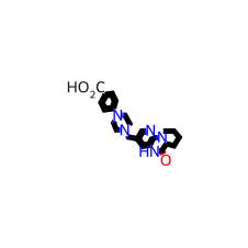 O=C(O)c1ccc(N2CCN(Cc3cnc4c(c3)NC(=O)C3CCCCN43)CC2)cc1